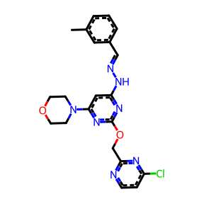 Cc1cccc(C=NNc2cc(N3CCOCC3)nc(OCc3nccc(Cl)n3)n2)c1